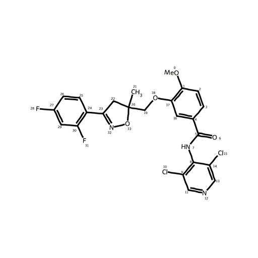 COc1ccc(C(=O)Nc2c(Cl)cncc2Cl)cc1OCC1(C)CC(c2ccc(F)cc2F)=NO1